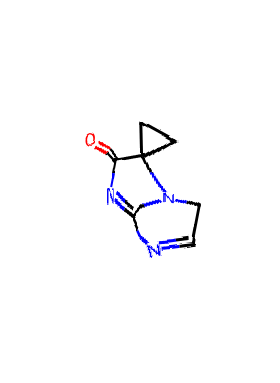 O=C1N=C2N=CCN2C12CC2